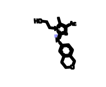 CC(=O)c1s/c(=N\c2ccc3c(c2)CCOC3)n(CCO)c1C